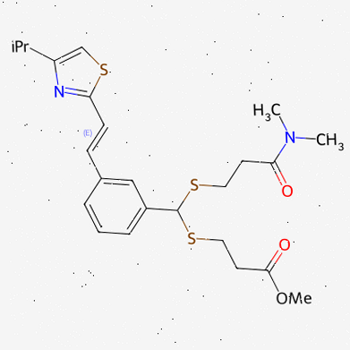 COC(=O)CCSC(SCCC(=O)N(C)C)c1cccc(/C=C/c2nc(C(C)C)cs2)c1